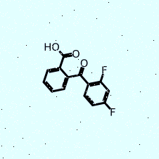 O=C(O)c1ccccc1C(=O)c1ccc(F)cc1F